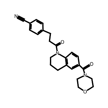 N#Cc1ccc(CCC(=O)N2CCCc3cc(C(=O)N4CCOCC4)ccc32)cc1